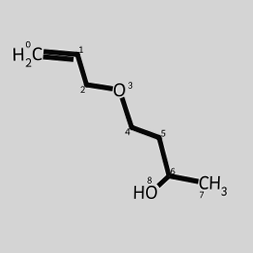 C=CCOCCC(C)O